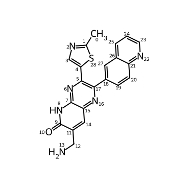 Cc1ncc(-c2nc3[nH]c(=O)c(CN)cc3nc2-c2ccc3ncccc3c2)s1